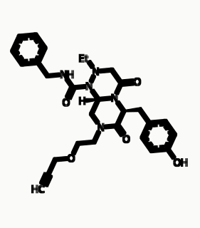 C#CCOCCN1C[C@H]2N(C(=O)CN(CC)N2C(=O)NCc2ccccc2)[C@@H](Cc2ccc(O)cc2)C1=O